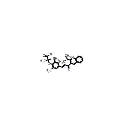 Cc1cc(/C=C/C(=O)c2cc3ccccc3nc2N(C)C)cc(C)c1OC(C)(C)C(=O)O